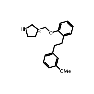 COc1cccc(CCc2ccccc2OC[C@H]2CCNC2)c1